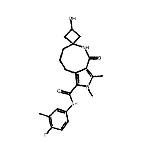 Cc1cc(NC(=O)c2c3c(c(C)n2C)C(=O)NC2(CCC3)CC(O)C2)ccc1F